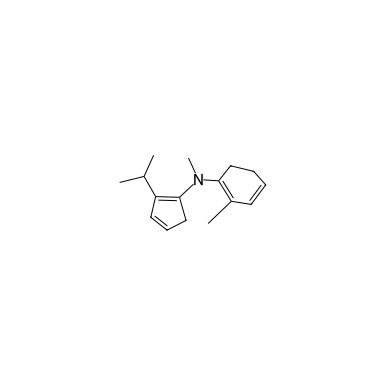 CC1=C(N(C)C2=C(C(C)C)C=CC2)CCC=C1